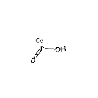 O=PO.[Ce]